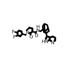 O=C(NCC12CC3CC(C1)CC(c1c[nH]c4ncccc14)(C3)C2)c1cccn(Cc2ccc(F)c(F)c2)c1=O